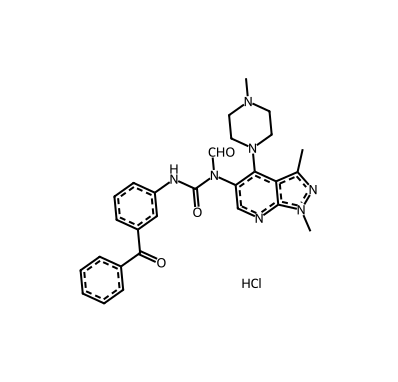 Cc1nn(C)c2ncc(N(C=O)C(=O)Nc3cccc(C(=O)c4ccccc4)c3)c(N3CCN(C)CC3)c12.Cl